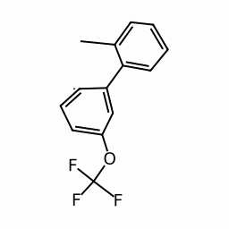 Cc1ccccc1-c1[c]ccc(OC(F)(F)F)c1